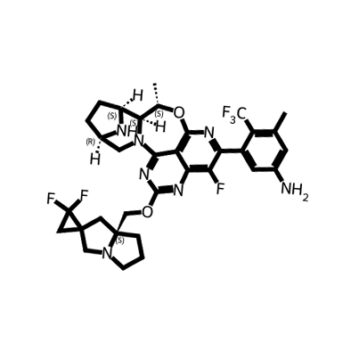 Cc1cc(N)cc(-c2nc3c4c(nc(OC[C@@]56CCCN5CC5(CC5(F)F)C6)nc4c2F)N2C[C@H]4CC[C@H](N4)[C@H]2[C@H](C)O3)c1C(F)(F)F